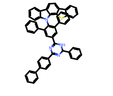 c1ccc(-c2ccc(C3=NC(c4ccccc4)NC(c4cc(-c5ccccc5)c(-n5c6ccccc6c6ccc7c8ccccc8sc7c65)c(-c5ccccc5)c4)=N3)cc2)cc1